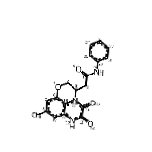 O=C(CC1COc2cc(Cl)cc3[nH]c(=O)c(=O)n1c23)Nc1ccccc1